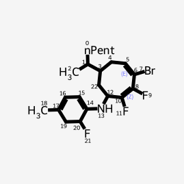 CCCCCC(C)C1C/C=C(Br)\C(F)=C(\F)C(NC2=CC=C(C)CC2F)C1